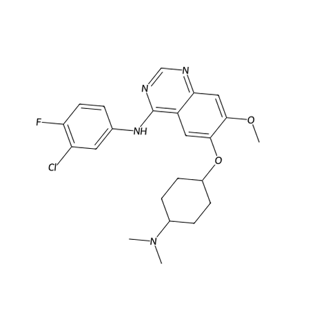 COc1cc2ncnc(Nc3ccc(F)c(Cl)c3)c2cc1OC1CCC(N(C)C)CC1